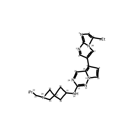 CCc1cnc2ncc(-c3ccn4nc(NC5CC6(C5)CN(CC(C)C)C6)ncc34)cn12